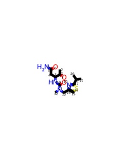 CC(=O)C(CC(N)=O)NC(=O)N(C)Cc1csc(C(C)C)n1